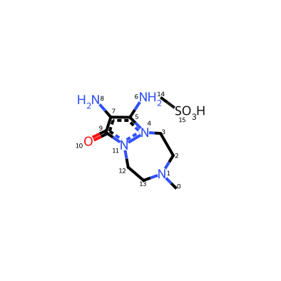 CN1CCn2c(N)c(N)c(=O)n2CC1.CS(=O)(=O)O